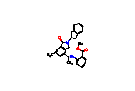 Cc1cc2c(c(C(C)Nc3ccccc3C(=O)OC(C)(C)C)c1)CN(C1Cc3ccccc3C1)C2=O